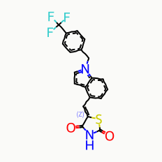 O=C1NC(=O)/C(=C/c2cccc3c2ccn3Cc2ccc(C(F)(F)F)cc2)S1